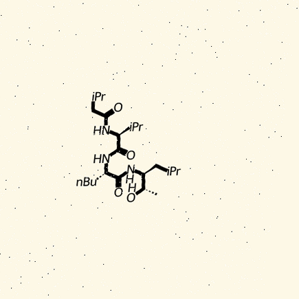 CCCC[C@H](NC(=O)[C@@H](NC(=O)CC(C)C)C(C)C)C(=O)N[C@@H](CC(C)C)[C@H](C)O